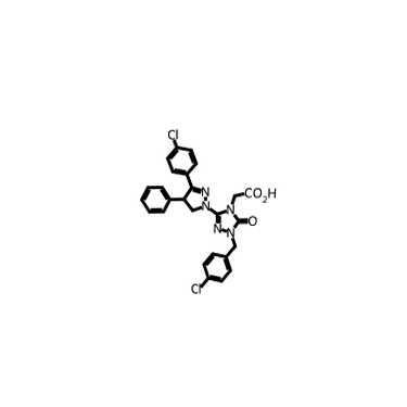 O=C(O)Cn1c(N2CC(c3ccccc3)C(c3ccc(Cl)cc3)=N2)nn(Cc2ccc(Cl)cc2)c1=O